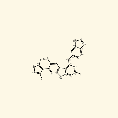 COc1cc2c(cc1-c1c(C)noc1C)[nH]c1nc(C)nc(Nc3ccc4cc[nH]c4c3)c12